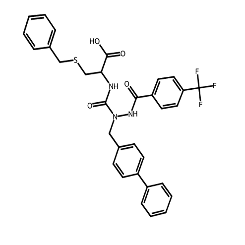 O=C(NN(Cc1ccc(-c2ccccc2)cc1)C(=O)NC(CSCc1ccccc1)C(=O)O)c1ccc(C(F)(F)F)cc1